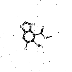 COC(=O)c1c(N)c(Cl)cc2nc[nH]c12